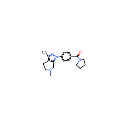 CN1CCc2c(C(F)(F)F)nn(-c3ccc(C(=O)N4CCCC4)cc3)c2C1